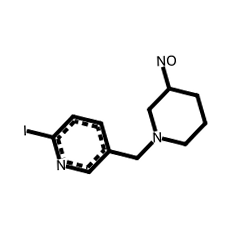 O=NC1CCCN(Cc2ccc(I)nc2)C1